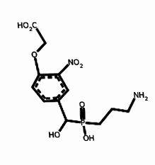 NCCCP(=O)(O)C(O)c1ccc(OCC(=O)O)c([N+](=O)[O-])c1